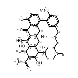 COc1ccc(CNCCN(C)C)cc1-c1ccc(O)c2c1C[C@H]1C[C@H]3C(N(C)C)C(O)=C(C(N)=O)C(=O)[C@@]3(O)C(O)=C1C2=O